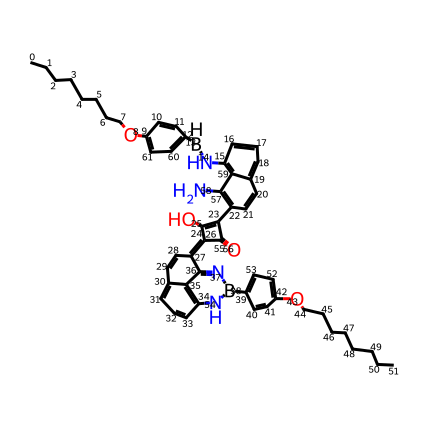 CCCCCCCCOc1ccc(BNc2cccc3ccc(C4=C(O)/C(=c5\ccc6cccc7c6c5=NB(c5ccc(OCCCCCCCC)cc5)N7)C4=O)c(N)c23)cc1